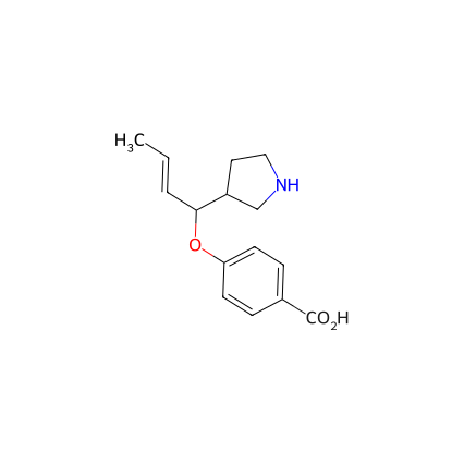 CC=CC(Oc1ccc(C(=O)O)cc1)C1CCNC1